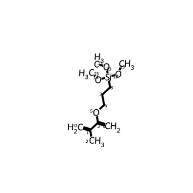 C=C(C)C(=C)OCCC[Si](OC)(OC)OC